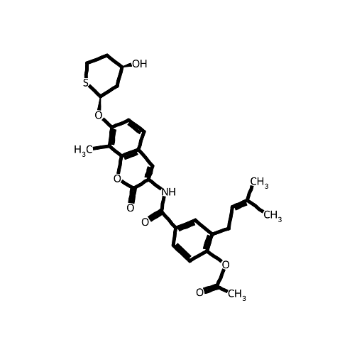 CC(=O)Oc1ccc(C(=O)Nc2cc3ccc(O[C@@H]4C[C@H](O)CCS4)c(C)c3oc2=O)cc1CC=C(C)C